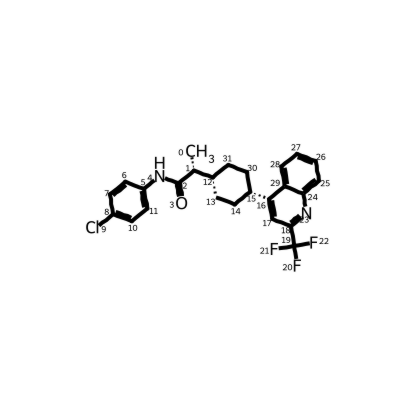 C[C@@H](C(=O)Nc1ccc(Cl)cc1)[C@H]1CC[C@@H](c2cc(C(F)(F)F)nc3ccccc32)CC1